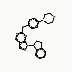 c1ccc2c(c1)CC[C@@H]2n1ncc2cnc(Nc3ccc(N4CCNCC4)cc3)nc21